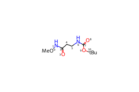 CONC(=O)CCNC(=O)OC(C)(C)C